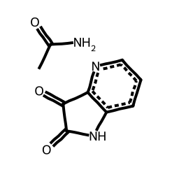 CC(N)=O.O=C1Nc2cccnc2C1=O